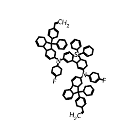 C=CC1=CCC(C2(C3=CC=CCC3)C3CCC=CC3C3C=CC(N(C4=CC5C6C=C(N(C7=CC=C(F)CC7)C7C=CC8C9C=CC=CC9C(C9=CCC(C=C)C=C9)(C9CC=CCC9)C8C7)CCC6[Si](C6=CCCC=C6)(C6C=CC=CC6)C5C=C4)C4CC=C(F)CC4)CC32)C=C1